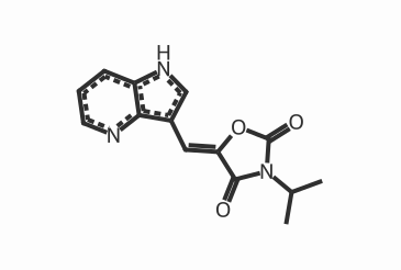 CC(C)N1C(=O)O/C(=C\c2c[nH]c3cccnc23)C1=O